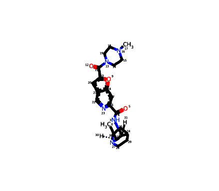 C[C@H]1[C@H](NC(=O)c2cc3oc(C(=O)N4CCN(C)CC4)cc3cn2)C2CCN1CC2